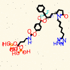 O=C(NCCCC(O)(OP(O)O)OP(O)O)Oc1ccc(C(=O)O[C@H](/C=C/[C@H]2CCC(=O)N2CCCCCCc2nn[nH]n2)C(F)(F)c2ccccc2)cc1